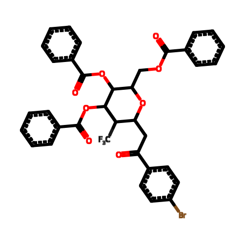 O=C(CC1OC(COC(=O)c2ccccc2)C(OC(=O)c2ccccc2)C(OC(=O)c2ccccc2)C1C(F)(F)F)c1ccc(Br)cc1